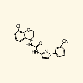 N#Cc1cccc(-n2ccc(NC(=O)N[C@H]3CCOc4c(Cl)cccc43)n2)c1